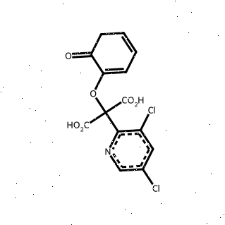 O=C1CC=CC=C1OC(C(=O)O)(C(=O)O)c1ncc(Cl)cc1Cl